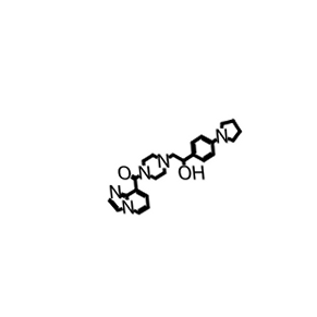 O=C(c1cccn2ccnc12)N1CCN(CC(O)c2ccc(N3CCCC3)cc2)CC1